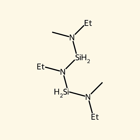 CCN(C)[SiH2]N(CC)[SiH2]N(C)CC